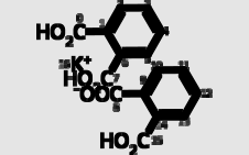 O=C(O)c1ccccc1C(=O)O.O=C([O-])c1ccccc1C(=O)O.[K+]